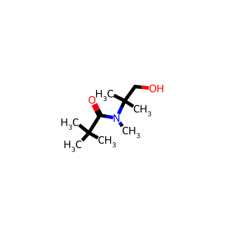 CN(C(=O)C(C)(C)C)C(C)(C)CO